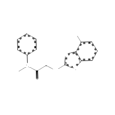 CN(C(=O)COc1nc2cccc(F)c2s1)c1ccccc1